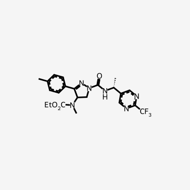 CCOC(=O)N(C)C1CN(C(=O)N[C@H](C)c2cnc(C(F)(F)F)nc2)N=C1c1ccc(C)cc1